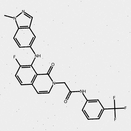 Cn1ncc2cc(Nc3c(F)ccc4ccn(CC(=O)Nc5cccc(C(F)(F)F)c5)c(=O)c34)ccc21